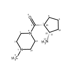 CN1CCN(C(=O)[C@@H]2CCC[C@@H]2N)CC1